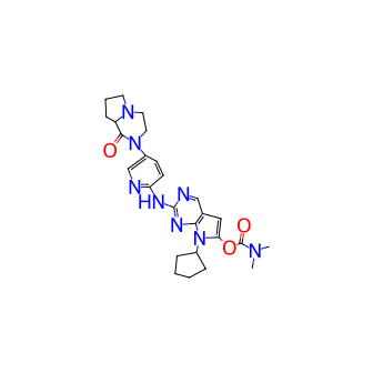 CN(C)C(=O)Oc1cc2cnc(Nc3ccc(N4CCN5CCCC5C4=O)cn3)nc2n1C1CCCC1